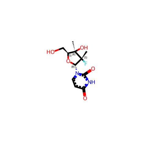 C[C@@]1(O)[C@H](CO)O[C@@H](n2ccc(=O)[nH]c2=O)[C@@]1(C)F